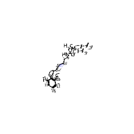 CC(C)(C)OC(=O)NCC/C=C/COc1c(F)cccc1F